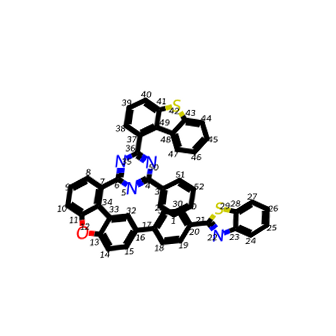 c1ccc(-c2nc(-c3cccc4oc5ccc(-c6ccc(-c7nc8ccccc8s7)cc6)cc5c34)nc(-c3cccc4sc5ccccc5c34)n2)cc1